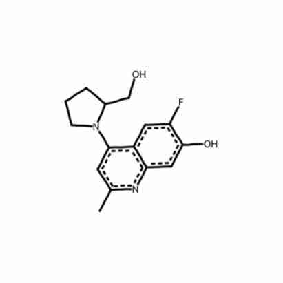 Cc1cc(N2CCCC2CO)c2cc(F)c(O)cc2n1